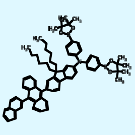 CCCCCCC1(CCCCCC)c2cc(-c3c4ccccc4c(-c4ccc5ccccc5c4)c4ccccc34)ccc2-c2ccc(N(c3ccc(B4OC(C)(C)C(C)(C)O4)cc3)c3ccc(B4OC(C)(C)C(C)(C)O4)cc3)cc21